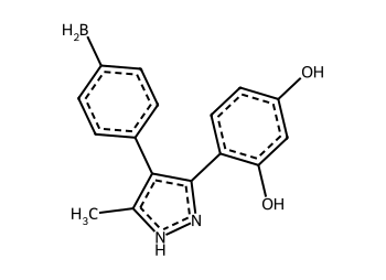 Bc1ccc(-c2c(-c3ccc(O)cc3O)n[nH]c2C)cc1